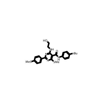 CCCCc1ccc(NC(=O)c2c(NCCO)nc(-c3ccc(SC)cc3)nc2SC)cc1